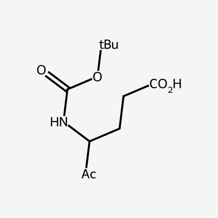 CC(=O)C(CCC(=O)O)NC(=O)OC(C)(C)C